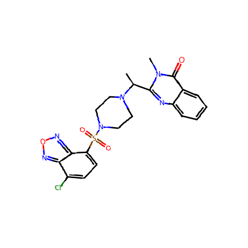 CC(c1nc2ccccc2c(=O)n1C)N1CCN(S(=O)(=O)c2ccc(Cl)c3nonc23)CC1